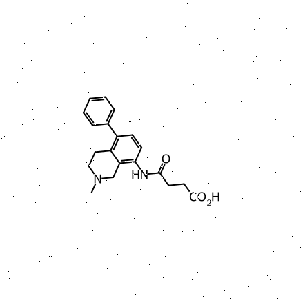 CN1CCc2c(-c3ccccc3)ccc(NC(=O)CCC(=O)O)c2C1